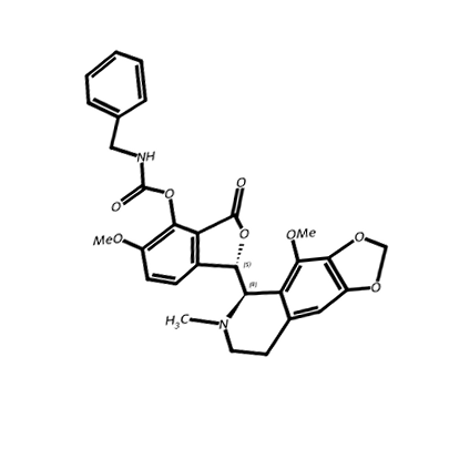 COc1ccc2c(c1OC(=O)NCc1ccccc1)C(=O)O[C@@H]2[C@H]1c2c(cc3c(c2OC)OCO3)CCN1C